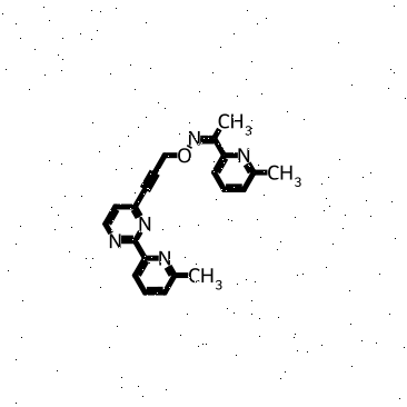 C/C(=N/OCC#Cc1ccnc(-c2cccc(C)n2)n1)c1cccc(C)n1